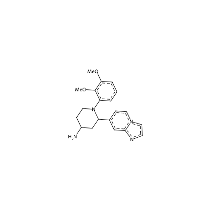 COc1cccc(N2CCC(N)CC2c2ccn3ccnc3c2)c1OC